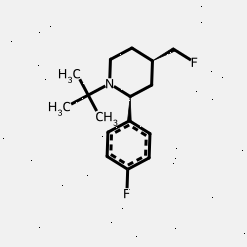 CC(C)(C)N1CC[C@@H](CF)C[C@H]1c1ccc(F)cc1